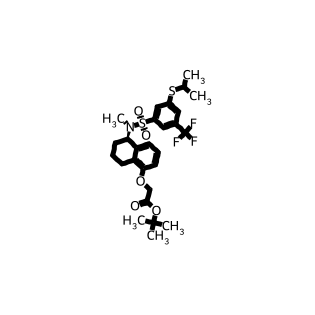 CC(C)Sc1cc(C(F)(F)F)cc(S(=O)(=O)N(C)[C@@H]2CCCc3c(OCC(=O)OC(C)(C)C)cccc32)c1